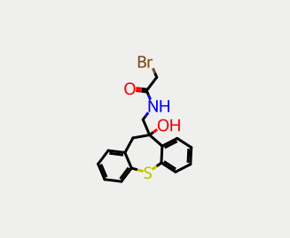 O=C(CBr)NCC1(O)Cc2ccccc2Sc2ccccc21